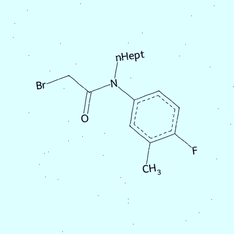 CCCCCCCN(C(=O)CBr)c1ccc(F)c(C)c1